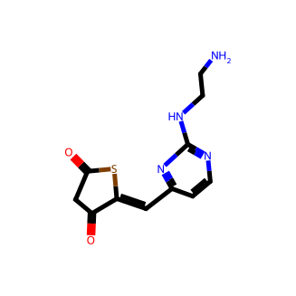 NCCNc1nccc(/C=C2\SC(=O)CC2=O)n1